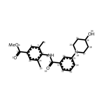 COC(=O)c1cc(C)c(NC(=O)c2cccc(N3CCC(O)CC3)c2)c(C)c1